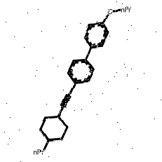 CCCOc1ccc(-c2ccc(C#CC3CCC(CCC)CC3)cc2)cc1